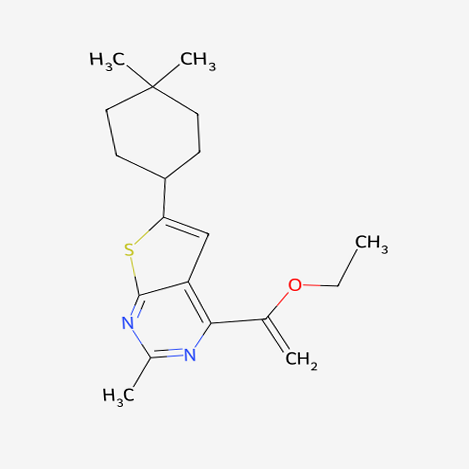 C=C(OCC)c1nc(C)nc2sc(C3CCC(C)(C)CC3)cc12